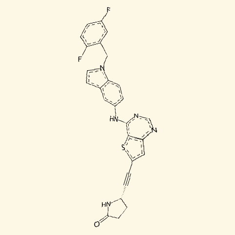 O=C1CC[C@@H](C#Cc2cc3ncnc(Nc4ccc5c(ccn5Cc5cc(F)ccc5F)c4)c3s2)N1